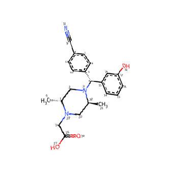 C[C@@H]1CN([C@H](c2ccc(C#N)cc2)c2cccc(O)c2)[C@@H](C)CN1CC(=O)O